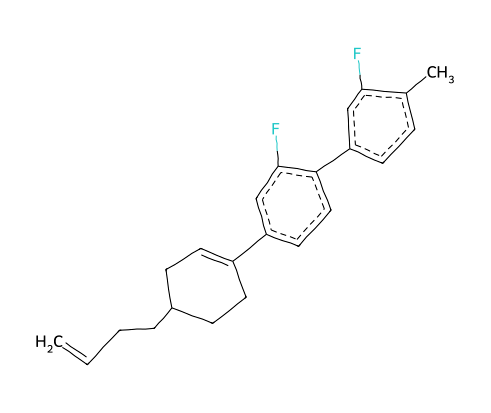 C=CCCC1CC=C(c2ccc(-c3ccc(C)c(F)c3)c(F)c2)CC1